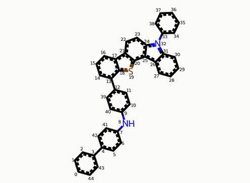 c1ccc(-c2ccc(Nc3ccc(-c4cccc5c4sc4c5ccc5c4c4ccccc4n5-c4ccccc4)cc3)cc2)cc1